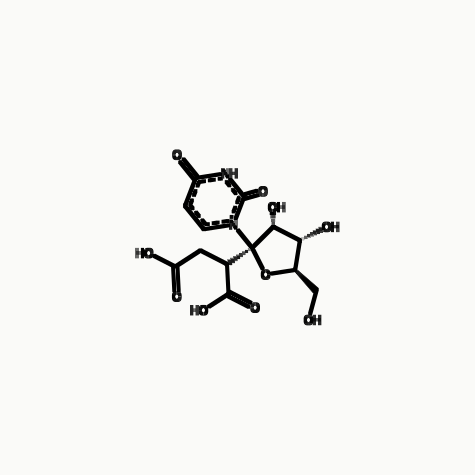 O=C(O)CC(C(=O)O)[C@@]1(n2ccc(=O)[nH]c2=O)O[C@H](CO)[C@@H](O)[C@H]1O